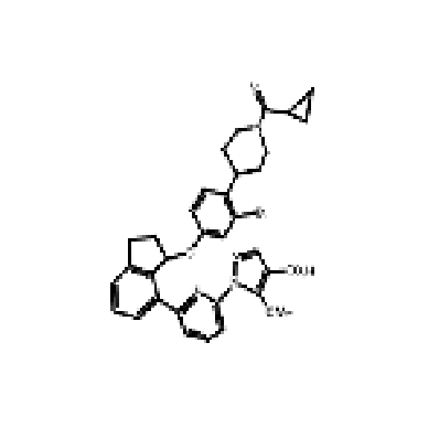 CCc1cc(OC2CCc3cccc(-c4cccc(-n5ncc(C(=O)O)c5OC)n4)c32)ccc1C1CCN(C(=O)C2CC2)CC1